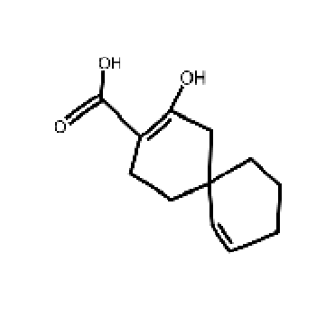 O=C(O)C1=C(O)CC2(C=CCCC2)CC1